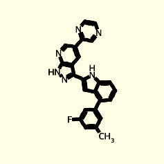 Cc1cc(F)cc(-c2cccc3[nH]c(-c4n[nH]c5ncc(-c6cnccn6)cc45)cc23)c1